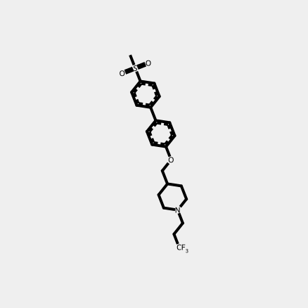 CS(=O)(=O)c1ccc(-c2ccc(OCC3CCN(CCC(F)(F)F)CC3)cc2)cc1